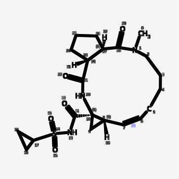 CN1CCCC/C=C\[C@@H]2C[C@@]2(C(=O)NS(=O)(=O)C2CC2)NC(=O)[C@@H]2CCC[C@H]2C1=O